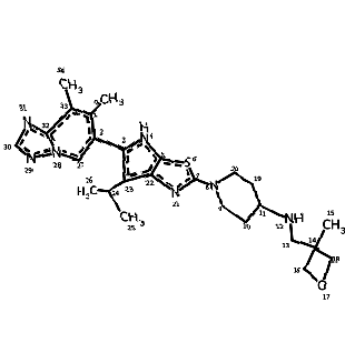 Cc1c(-c2[nH]c3sc(N4CCC(NCC5(C)COC5)CC4)nc3c2C(C)C)cn2ncnc2c1C